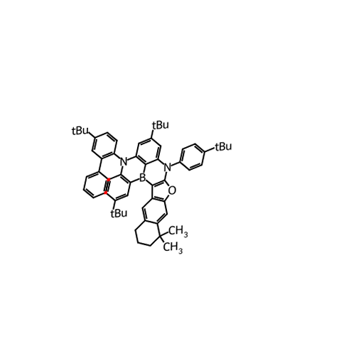 CC(C)(C)c1ccc(N2c3cc(C(C)(C)C)cc4c3B(c3cc(C(C)(C)C)ccc3N4c3ccc(C(C)(C)C)cc3-c3ccccc3)c3c2oc2cc4c(cc32)CCCC4(C)C)cc1